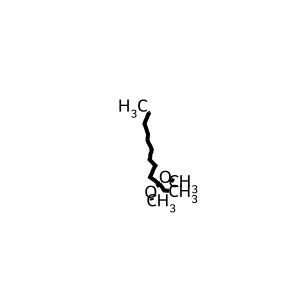 CCCCCCCCCC(CC)(OC)OC